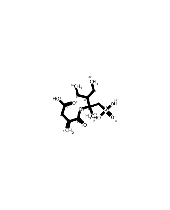 C=C(CC(=O)O)C(=O)OC(C)(CP(=O)(O)O)C(CC)CC